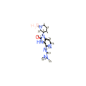 BN1CCCC(n2c(=O)[nH]c3c(/N=C/N(C)C)nccc32)C1